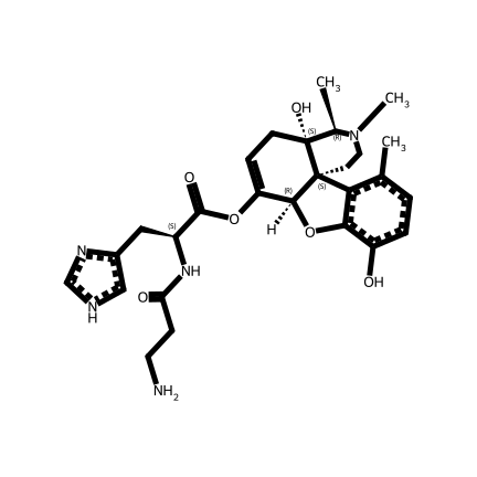 Cc1ccc(O)c2c1[C@]13CCN(C)[C@H](C)[C@]1(O)CC=C(OC(=O)[C@H](Cc1c[nH]cn1)NC(=O)CCN)[C@@H]3O2